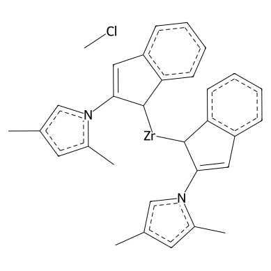 CCl.Cc1cc(C)n(C2=Cc3ccccc3[CH]2[Zr][CH]2C(n3cc(C)cc3C)=Cc3ccccc32)c1